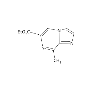 CCOC(=O)c1cn2ccnc2c(C)n1